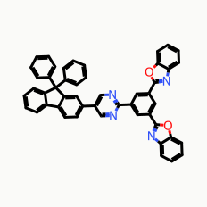 c1ccc(C2(c3ccccc3)c3ccccc3-c3ccc(-c4cnc(-c5cc(-c6nc7ccccc7o6)cc(-c6nc7ccccc7o6)c5)nc4)cc32)cc1